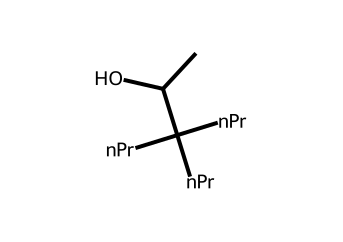 CCCC(CCC)(CCC)C(C)O